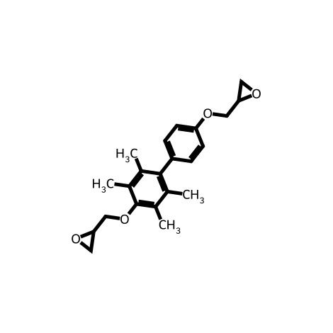 Cc1c(C)c(-c2ccc(OCC3CO3)cc2)c(C)c(C)c1OCC1CO1